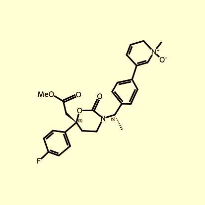 COC(=O)C[C@]1(c2ccc(F)cc2)CCN([C@@H](C)c2ccc(C3=C[N+](C)([O-])CC=C3)cc2)C(=O)O1